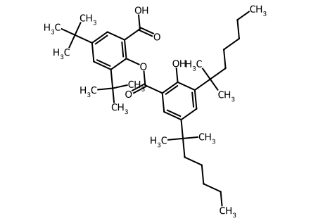 CCCCCC(C)(C)c1cc(C(=O)Oc2c(C(=O)O)cc(C(C)(C)C)cc2C(C)(C)C)c(O)c(C(C)(C)CCCCC)c1